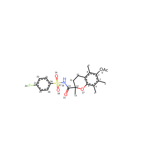 CC(=O)Oc1c(C)c(C)c2c(c1C)CCC(C)(C(=O)NS(=O)(=O)c1ccc(F)cc1)O2